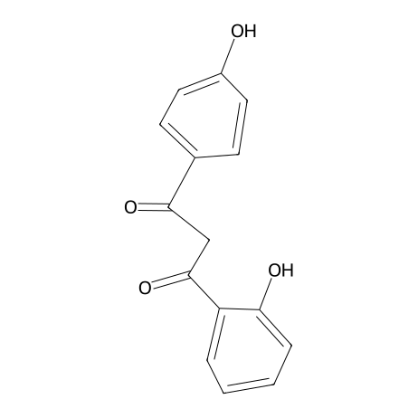 O=C(CC(=O)c1ccccc1O)c1ccc(O)cc1